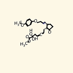 COC(=O)C(O)(O)CC=C=CC[C@H]1C(=O)CC[C@@H]1/C=C/CCOc1ccc(OC)cc1